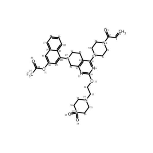 C=CC(=O)N1CCN(c2nc(OCCN3CCS(=O)(=O)CC3)nc3c2CCN(c2cc(OC(=O)C(F)(F)F)cc4ccccc24)C3)CC1